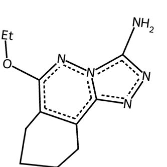 CCOc1nn2c(N)nnc2c2c1CCCC2